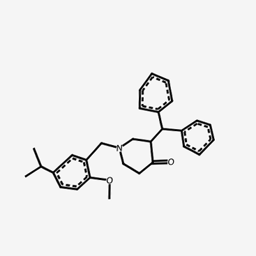 COc1ccc(C(C)C)cc1CN1CCC(=O)C(C(c2ccccc2)c2ccccc2)C1